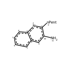 CCCCCc1nc2ccccc2cc1N